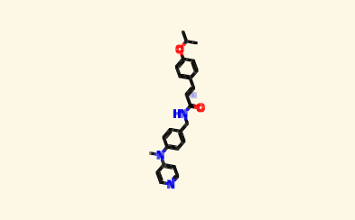 CC(C)Oc1ccc(/C=C/C(=O)NCc2ccc(N(C)c3ccncc3)cc2)cc1